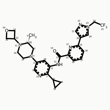 C[C@@H]1CN(c2cnc(C3CC3)c(NC(=O)c3cccc(-c4cnn(CC(F)(F)F)c4)n3)c2)CCN1C1COC1